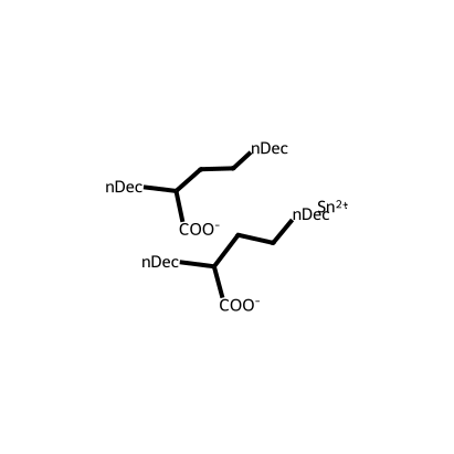 CCCCCCCCCCCCC(CCCCCCCCCC)C(=O)[O-].CCCCCCCCCCCCC(CCCCCCCCCC)C(=O)[O-].[Sn+2]